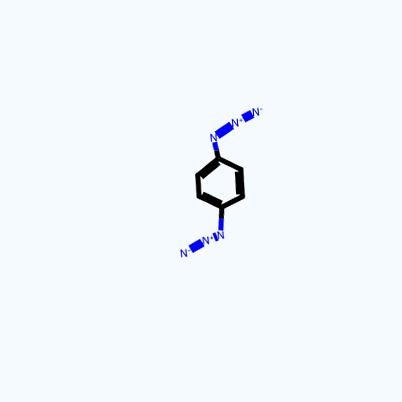 [N-]=[N+]=Nc1ccc(N=[N+]=[N-])cc1